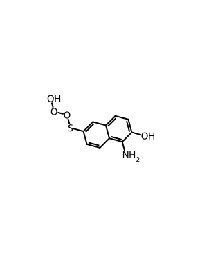 Nc1c(O)ccc2cc(SOOO)ccc12